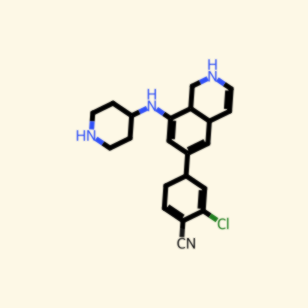 N#CC1=CCC(C2=CC3C=CNCC3C(NC3CCNCC3)=C2)C=C1Cl